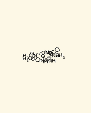 COCCCN1C(=O)C(C)(C)Oc2ccc(N(C(=O)[C@H]3CNC[C@@H](C(=O)NC(C)(C)c4ccccc4)C3)C(C)C)cc21